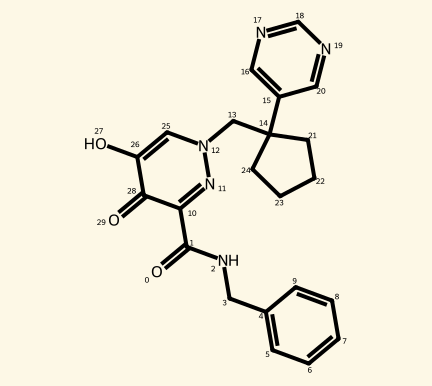 O=C(NCc1ccccc1)c1nn(CC2(c3cncnc3)CCCC2)cc(O)c1=O